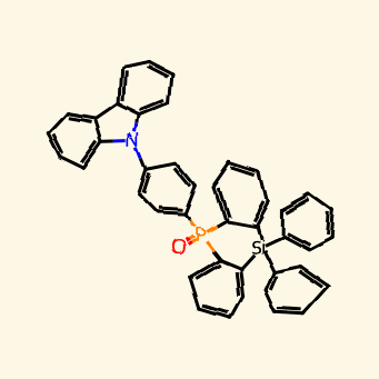 O=P1(c2ccc(-n3c4ccccc4c4ccccc43)cc2)c2ccccc2[Si](c2ccccc2)(c2ccccc2)c2ccccc21